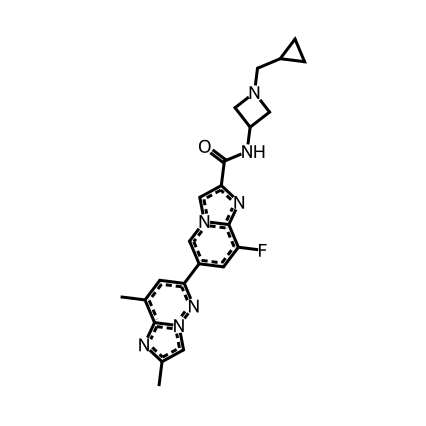 Cc1cn2nc(-c3cc(F)c4nc(C(=O)NC5CN(CC6CC6)C5)cn4c3)cc(C)c2n1